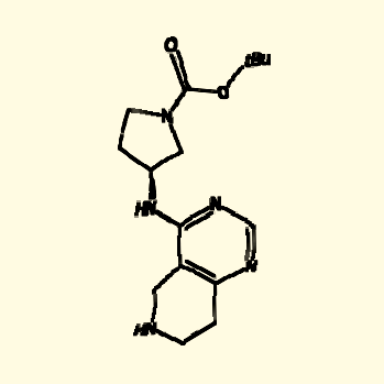 CC(C)(C)OC(=O)N1CC[C@H](Nc2ncnc3c2CNCC3)C1